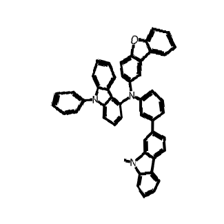 Cn1c2ccccc2c2ccc(-c3cccc(N(c4ccc5oc6ccccc6c5c4)c4cccc5c4c4ccccc4n5-c4ccccc4)c3)cc21